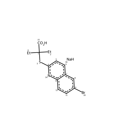 CCC(CC)(Sc1ccc2cc(Br)ccc2n1)C(=O)O.[NaH]